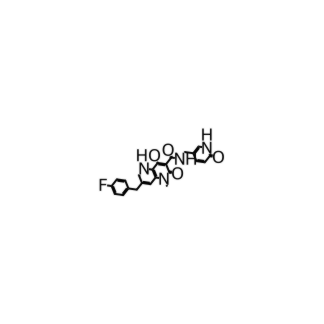 Cn1c(=O)c(C(=O)NCc2ccc(=O)[nH]c2)c(O)c2ncc(Cc3ccc(F)cc3)cc21